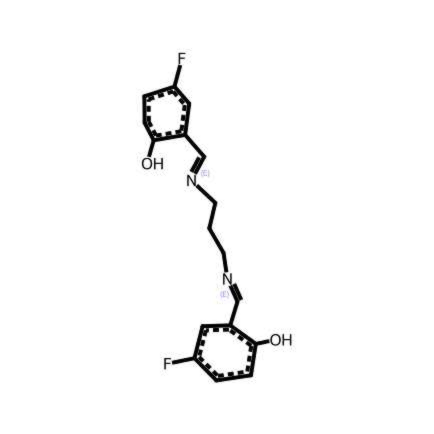 Oc1ccc(F)cc1/C=N/CCC/N=C/c1cc(F)ccc1O